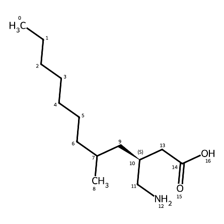 CCCCCCCC(C)C[C@H](CN)CC(=O)O